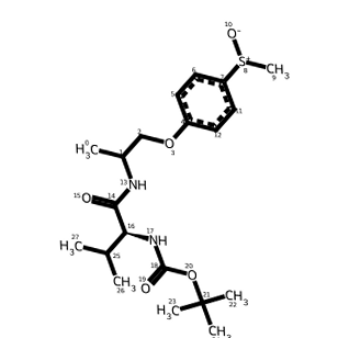 CC(COc1ccc([S+](C)[O-])cc1)NC(=O)[C@@H](NC(=O)OC(C)(C)C)C(C)C